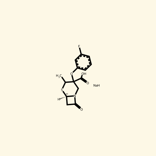 CC1S[C@@H]2CC(=O)N2CC1(Oc1cccc(F)c1)C(=O)O.[NaH]